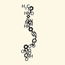 Cc1cccc(C(=O)NC2CC(n3cnc4c(Nc5ccc(N6CCN(CC7CCN(C(=O)COc8cccc9c8C(=O)N([C@H]8CCC(=O)NC8=O)C9=O)CC7)CC6)cc5)ncnc43)C2)n1